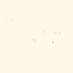 COC(=O)N[C@@H](Cc1ccccc1)C(=O)N[C@@H](Cc1ccc(NS(=O)(=O)O)cc1)C1=NC(CCC(F)(F)F)CS1